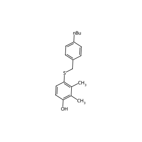 CCCCc1ccc(CSc2ccc(O)c(C)c2C)cc1